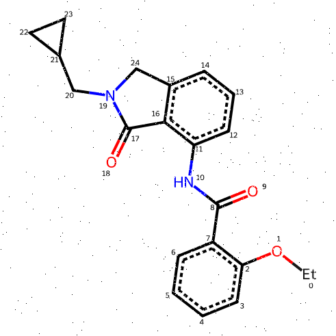 CCOc1ccccc1C(=O)Nc1cccc2c1C(=O)N(CC1CC1)C2